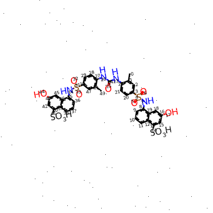 Cc1cc(S(=O)(=O)Nc2cccc3c(S(=O)(=O)O)cc(O)cc23)ccc1NC(=O)Nc1ccc(S(=O)(=O)Nc2cccc3c(S(=O)(=O)O)cc(O)cc23)cc1C